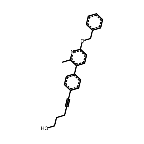 Cc1nc(OCc2ccccc2)ccc1-c1ccc(C#CCCCO)cc1